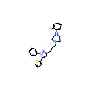 Fc1ccccc1N1CCN(CCCc2cc(-c3cccs3)n(-c3ccccc3)n2)CC1